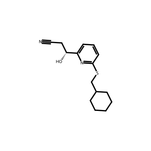 N#CC[C@@H](O)c1cccc(SCC2CCCCC2)n1